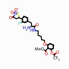 COC(=O)c1c(OCCCCCNC(=O)[C@@H](N)Cc2ccc(C3CC(=O)[N+]([O-])([O-])S3)c(F)c2)cccc1OC(=O)C(F)(F)F